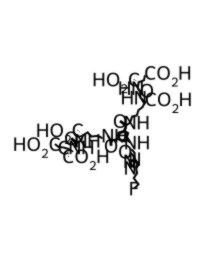 O=C(O)CC[C@H](NC(=O)N[C@@H](CCCCNC(=O)c1cc(NC(=O)Cn2cc(CCCF)nn2)cc(C(=O)NCCCC[C@H](NC(=O)N[C@@H](CCC(=O)O)C(=O)O)C(=O)O)c1)C(=O)O)C(=O)O